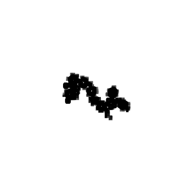 Nc1ncc(-c2cnn(C3CCN(CC4CCN(c5cccc6c5C(=O)N(C5CCC(=O)NC5=O)C6=O)CC4)CC3)c2)nc1C(=O)O[C@@H](C(=O)Nc1ccc(F)cc1)c1ccccc1